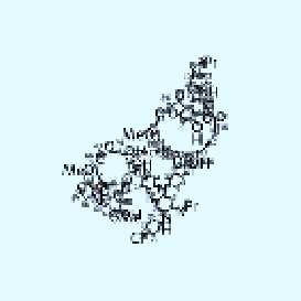 CC(C)/N=c1\cc2n(-c3ccc(Cl)cc3)c3ccccc3nc-2cc1Nc1ccc(Cl)cc1.CC[C@H]1OC(=O)[C@H](C)[C@@H](O[C@H]2C[C@@](C)(OC)[C@@H](O)[C@H](C)O2)[C@H](C)[C@@H](O[C@@H]2O[C@H](C)C[C@H](N(C)C)[C@H]2O)[C@](C)(OC)C[C@@H](C)C(=O)[C@H](C)[C@@H](O)[C@]1(C)O.CO[C@H]1/C=C/O[C@@]2(C)Oc3c(C)c(O)c4c(c3C2=O)C2=NC3(CCN(CC(C)C)CC3)NC2=C(NC(=O)/C(C)=C\C=C\[C@H](C)[C@H](O)[C@@H](C)[C@@H](O)[C@@H](C)[C@H](OC(C)=O)[C@@H]1C)C4=O